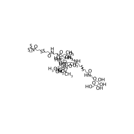 CCC(C)(CC(C)(CC(C)(CC(C)(C)C(=O)NCCNC(=O)CCSSCCC(=O)NCCOC1OC(CO)C(O)C(O)C1O)C(=O)NCCNC(=O)CCSSCCC(=O)N1CCSC1=S)C(=O)OCC[N+](C)(C)C)C(=O)NCC(C)O